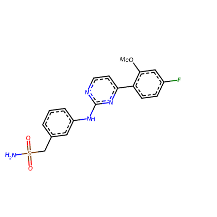 COc1cc(F)ccc1-c1ccnc(Nc2cccc(CS(N)(=O)=O)c2)n1